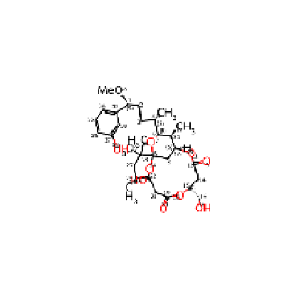 CO[C@@H](CC[C@H](C)[C@H]1O[C@@]23C[C@H](OC(=O)C[C@H](CO)OC(=O)C[C@](O)(O2)[C@H](C)CC3(C)C)[C@@H]1C)c1cccc(O)c1